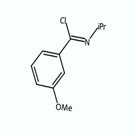 COc1cccc(C(Cl)=NC(C)C)c1